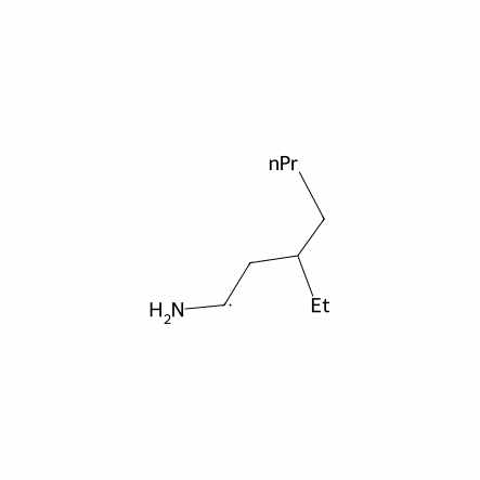 CCCCC(CC)C[CH]N